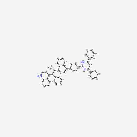 C=C(/C(=C(\C=C/N)c1ccccc1)c1ccccc1)c1ccc(-c2ccc(C3=NC(C4=CC=CCC4)C=C(C4=CC=CCC4)N3)cc2)c2ccccc12